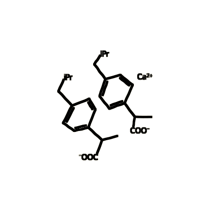 CC(C)Cc1ccc(C(C)C(=O)[O-])cc1.CC(C)Cc1ccc(C(C)C(=O)[O-])cc1.[Ca+2]